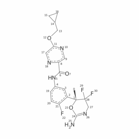 C[C@]1(c2cc(NC(=O)c3cnc(OCC4CC4)cn3)ccc2F)OC(N)=NCC1(F)F